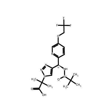 CC(C)(C(=O)O)n1cc([C@H](N[S+]([O-])C(C)(C)C)c2ccc(OCC(F)(F)F)cn2)nn1